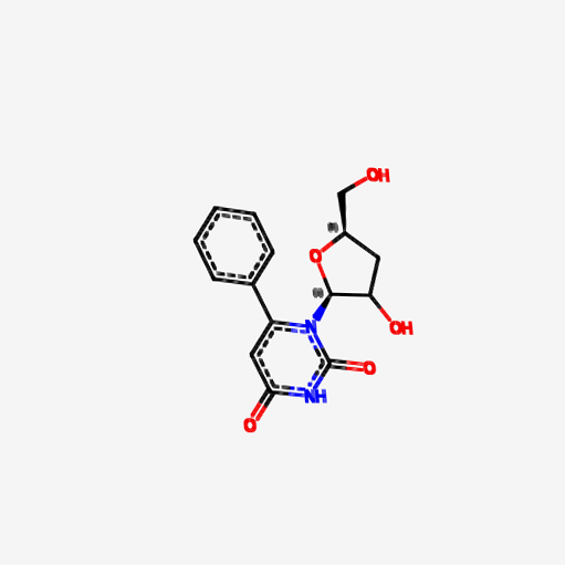 O=c1cc(-c2ccccc2)n([C@H]2O[C@@H](CO)CC2O)c(=O)[nH]1